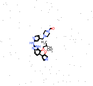 COc1cnccc1-c1ccc2nc(Nc3cc(CN4CCN(C=O)CC4)ccn3)[nH]c2c1OCC(C)C